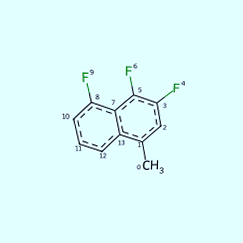 Cc1cc(F)c(F)c2c(F)cccc12